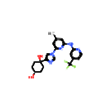 Cc1cc(Nc2cc(C(F)(F)F)ccn2)nc(-n2cnc([C@]3(O)CC[C@@H](O)CC3)c2)c1